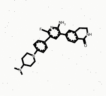 CN(C)C1CCN(c2ccc(-c3cc(-c4ccc5c(c4)CCNC5=O)c(N)nc3F)cc2)CC1